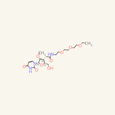 CCOCCOCCOCCNC(=O)C[C@H]1[C@@H](OC)[C@H](n2ccc(=O)[nH]c2=O)O[C@@H]1CO